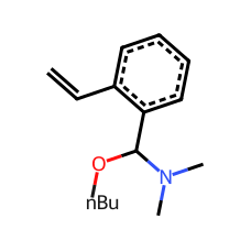 C=Cc1ccccc1C(OCCCC)N(C)C